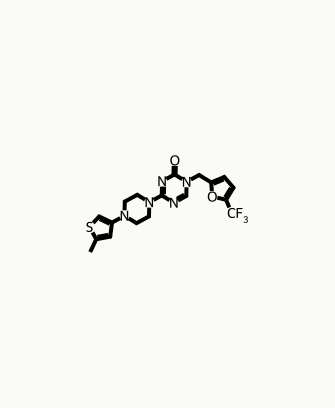 Cc1cc(N2CCN(c3ncn(Cc4ccc(C(F)(F)F)o4)c(=O)n3)CC2)cs1